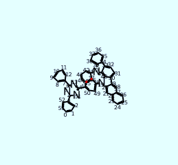 c1ccc(-c2nc(-c3ccccc3)nc(-c3ccc(-n4c5cc6ccccc6cc5c5ccc6c7ccccc7n(-c7ccccc7)c6c54)cc3)n2)cc1